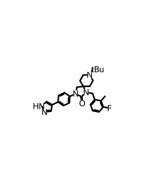 Cc1c(F)cccc1CN1C(=O)N(c2ccc(-c3cn[nH]c3)cc2)CC12CCN(C(C)(C)C)CC2